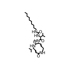 CCCCCCCCCCNC(=O)N[C@H](C(=O)N[C@H]1/C=C/CCNC(=O)/C=C/[C@H](C(C)C)NC1=O)C(C)C